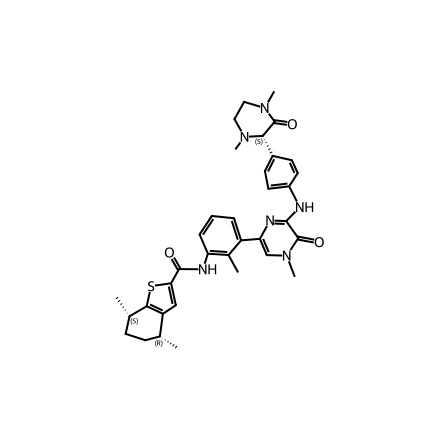 Cc1c(NC(=O)c2cc3c(s2)[C@@H](C)CC[C@H]3C)cccc1-c1cn(C)c(=O)c(Nc2ccc([C@H]3C(=O)N(C)CCN3C)cc2)n1